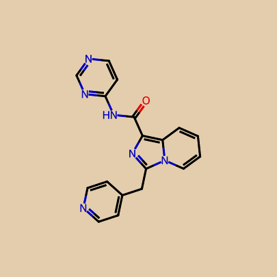 O=C(Nc1ccncn1)c1nc(Cc2ccncc2)n2ccccc12